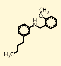 CCCCc1cccc(NCc2ccccc2OC)c1